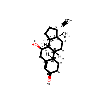 C#C[C@H]1CC[C@H]2[C@@H]3C(O)CC4=CC(=O)CC[C@@H]4[C@H]3CC[C@]12C